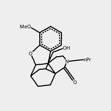 CCCN1CCC23c4cccc(OC)c4OC2C2CCC3(C1=O)C(CO)C2